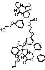 C=CCOC(=O)[C@H]1[C@@H]2C(=O)O[C@@H](c3ccccc3)[C@@H](c3ccccc3)N2[C@@H](c2ccc(OCCOC(=O)[C@H]3C[C@H]4C(=O)N5CCC[C@H]5C(=O)N4[C@H]3c3cccc(OCCO)c3)cc2)[C@]12C(=O)Nc1ccccc12